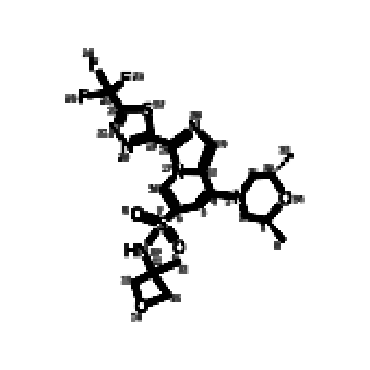 C[C@H]1CN(c2cc(S(=O)(=O)NC3(C)COC3)cn3c(-c4nnc(C(F)(F)F)s4)ncc23)C[C@H](C)O1